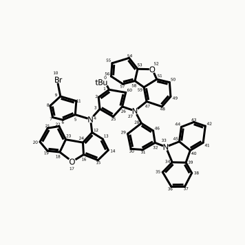 CC(C)(C)c1cc(N(c2cccc(Br)c2)c2cccc3oc4ccccc4c23)cc(N(c2cccc(-n3c4ccccc4c4ccccc43)c2)c2cccc3oc4ccccc4c23)c1